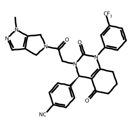 Cn1ncc2c1CN(C(=O)CN1C(=O)N(c3cccc(C(F)(F)F)c3)C3=C(C(=O)CCC3)[C@H]1c1ccc(C#N)cc1)C2